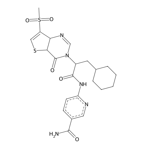 CS(=O)(=O)C1=CSC2C(=O)N(C(CC3CCCCC3)C(=O)Nc3ccc(C(N)=O)cn3)C=NC12